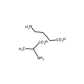 CC(N)C(=O)O.NCCCC(=O)O